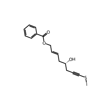 O=C(OC/C=C/C[C@H](O)CC#CSI)c1ccccc1